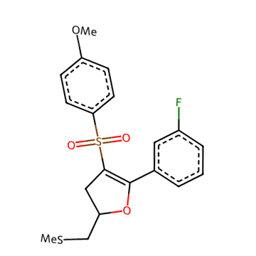 COc1ccc(S(=O)(=O)C2=C(c3cccc(F)c3)OC(CSC)C2)cc1